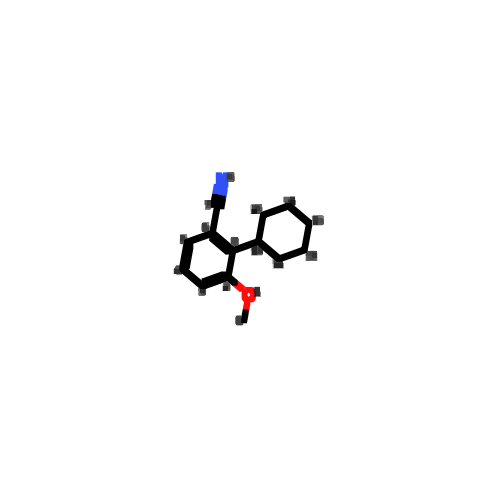 COc1cccc(C#N)c1C1CCCCC1